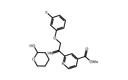 COC(=O)c1ccnc(C(=N)COc2cccc(F)c2)c1.OC1CCCCO1